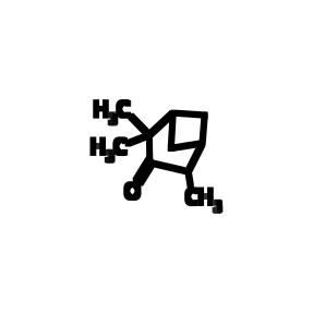 CC1C(=O)C(C)(C)C2CC1C2